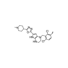 CN1CCC(c2nnc(-c3cc4c([nH]3)NCCN4Cc3c(Cl)ccc(F)c3Cl)o2)CC1